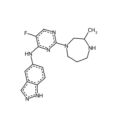 CC1CN(c2ncc(F)c(Nc3ccc4[nH]ncc4c3)n2)CCCN1